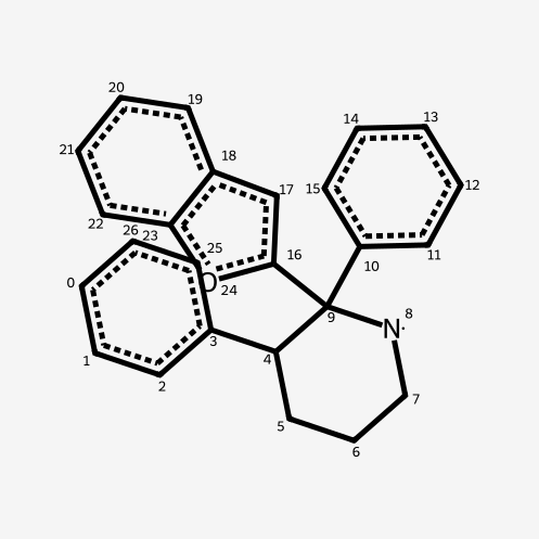 c1ccc(C2CCC[N]C2(c2ccccc2)c2cc3ccccc3o2)cc1